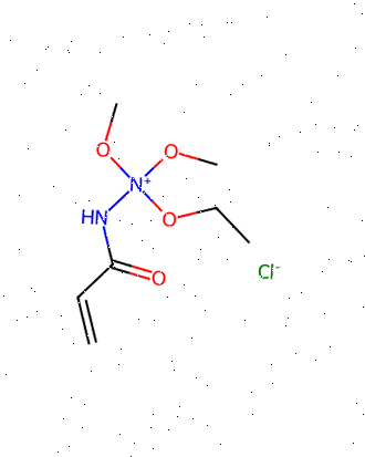 C=CC(=O)N[N+](OC)(OC)OCC.[Cl-]